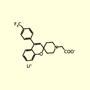 O=C([O-])CN1CCC2(C=C(c3ccc(C(F)(F)F)cc3)c3ccccc3O2)CC1.[Li+]